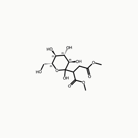 COC(=O)CC(C(=O)OC)C1(O)O[C@H](CO)[C@@H](O)[C@H](O)[C@H]1O